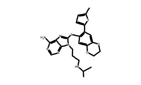 Cc1ccc(-c2cc3c(cc2Sc2nc4c(N)ncnc4n2CCCNC(C)C)OCCO3)s1